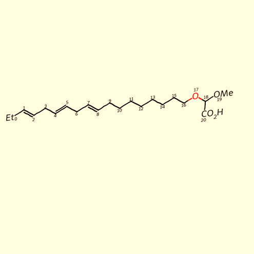 CCC=CCC=CCC=CCCCCCCCCOC(OC)C(=O)O